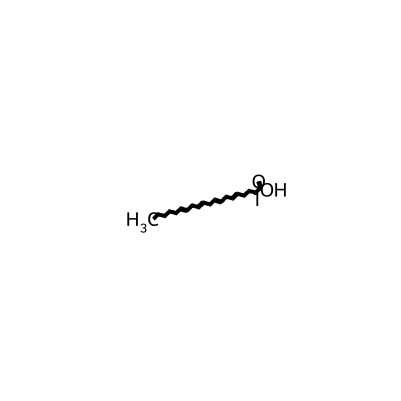 CCCCCC=CCC=CCC=CCC=CCCC(I)C(=O)O